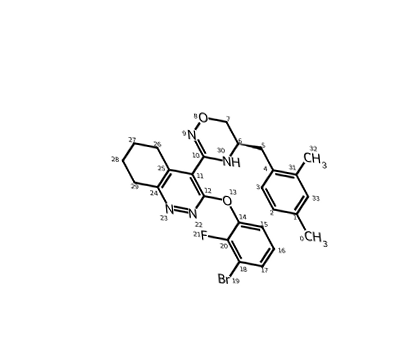 Cc1ccc(C[C@@H]2CON=C(c3c(Oc4cccc(Br)c4F)nnc4c3CCCC4)N2)c(C)c1